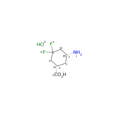 Cl.N[C@@H]1C[C@H](C(=O)O)CC(F)(F)C1